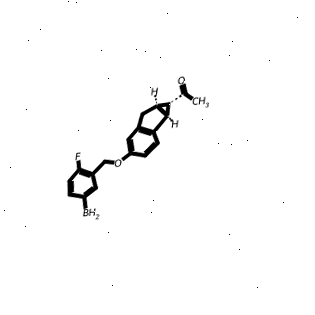 Bc1ccc(F)c(COc2ccc3c(c2)C[C@H]2[C@H](C(C)=O)[C@@H]32)c1